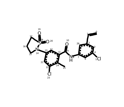 C=Cc1cc(Cl)cc(NC(=O)c2cc(N3CCCS3(=O)=O)cc(Cl)c2C)c1